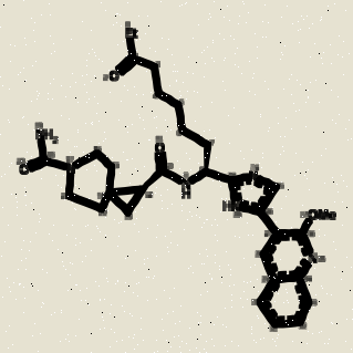 CCC(=O)CCCCC[C@H](NC(=O)[C@H]1CC12CCN(C(N)=O)CC2)c1ncc(-c2cc3ccccc3nc2OC)[nH]1